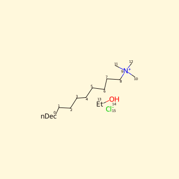 CCCCCCCCCCCCCCCCCC[N+](C)(C)C.CCO.[Cl-]